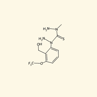 CN(N)C(=S)N(N)c1cccc(OC(F)(F)F)c1CO